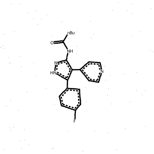 CCCCC(=O)Nc1n[nH]c(-c2ccc(F)cc2)c1-c1ccncc1